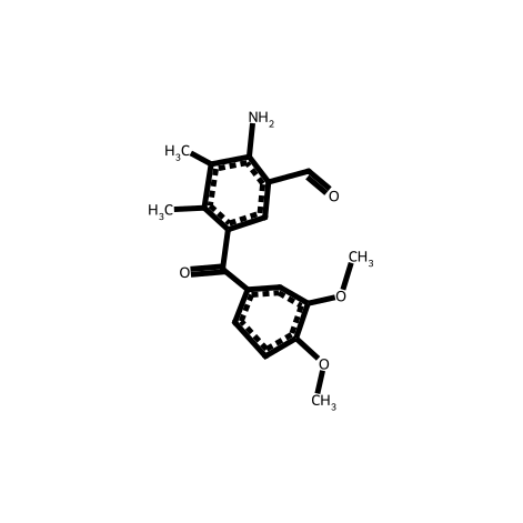 COc1ccc(C(=O)c2cc(C=O)c(N)c(C)c2C)cc1OC